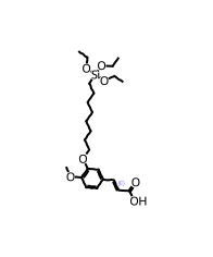 CCO[Si](CCCCCCCCOc1cc(/C=C/C(=O)O)ccc1OC)(OCC)OCC